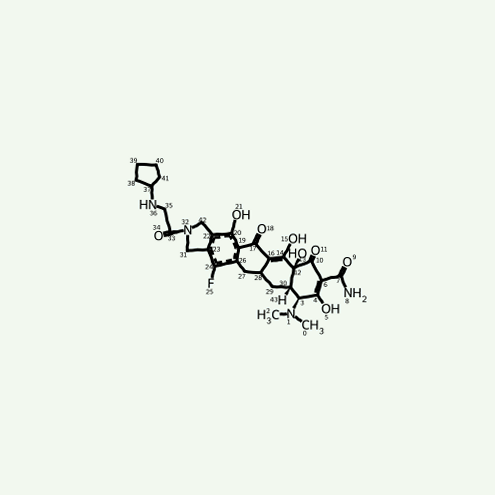 CN(C)[C@@H]1C(O)=C(C(N)=O)C(=O)[C@@]2(O)C(O)=C3C(=O)c4c(O)c5c(c(F)c4CC3C[C@@H]12)CN(C(=O)CNC1CCCC1)C5